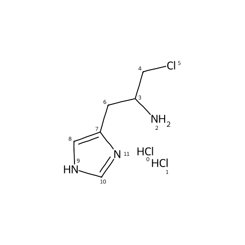 Cl.Cl.NC(CCl)Cc1c[nH]cn1